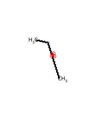 CCCCCCCC/C=C\CCCCCCCC(=O)OC(=O)CCCCCCCCCCCCCCCC